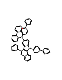 c1ccc(-c2ccc(N(c3ccc4c(c3)c3c(-c5ccccc5)cc5ccccc5c3n4-c3ccc(-c4ccccc4)cc3)c3ccccc3-c3ccccc3)cc2)cc1